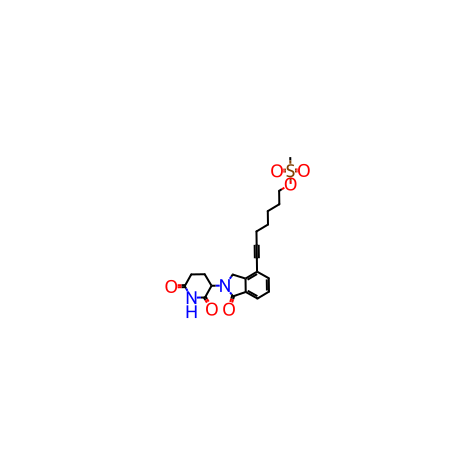 CS(=O)(=O)OCCCCCC#Cc1cccc2c1CN(C1CCC(=O)NC1=O)C2=O